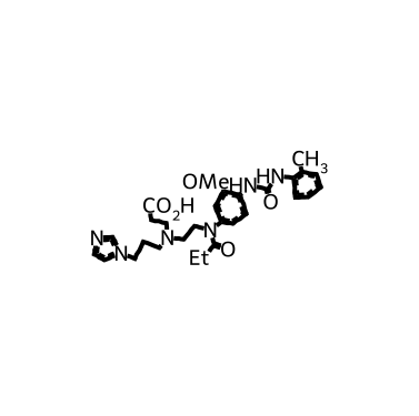 CCC(=O)N(CCN(CCCn1ccnc1)CCC(=O)O)c1ccc(NC(=O)Nc2ccccc2C)c(OC)c1